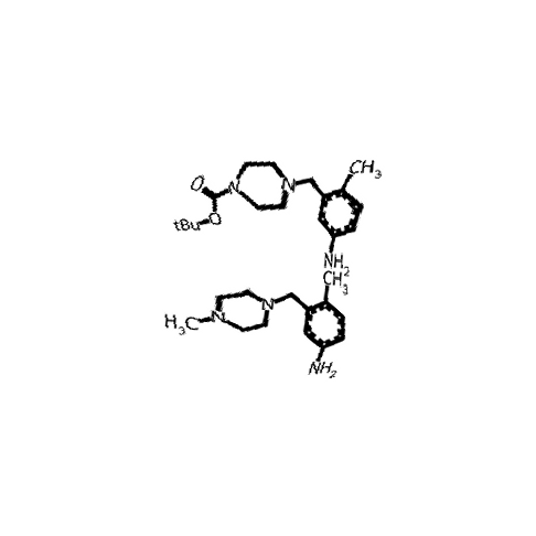 Cc1ccc(N)cc1CN1CCN(C(=O)OC(C)(C)C)CC1.Cc1ccc(N)cc1CN1CCN(C)CC1